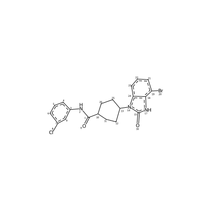 O=C(Nc1cccc(Cl)c1)C1CCC(n2c(=O)[nH]c3c(Br)cccc32)CC1